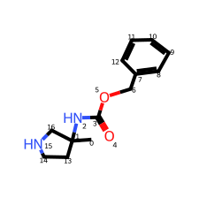 CC1(NC(=O)OCc2ccccc2)CCNC1